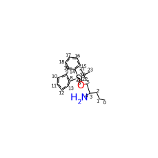 CCCC(N)CO[Si](c1ccccc1)(c1ccccc1)C(C)(C)C